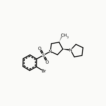 C[C@H]1CN(S(=O)(=O)c2ccccc2Br)C[C@@H]1N1CCCC1